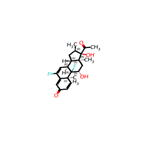 CC(=O)[C@@]1(O)[C@H](C)C[C@H]2[C@@H]3C=C(F)C4=CC(=O)C=C[C@]4(C)[C@@]3(F)[C@@H](O)C[C@@]21C